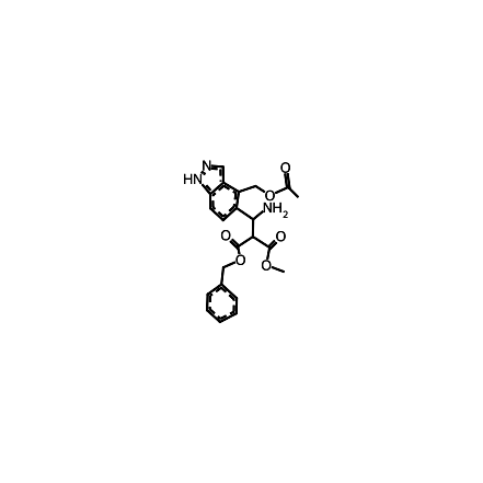 COC(=O)C(C(=O)OCc1ccccc1)C(N)c1ccc2[nH]ncc2c1COC(C)=O